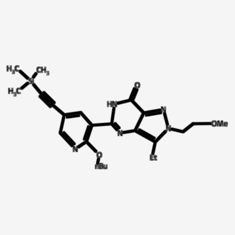 CCCCOc1ncc(C#C[Si](C)(C)C)cc1-c1nc2c(CC)n(CCOC)nc2c(=O)[nH]1